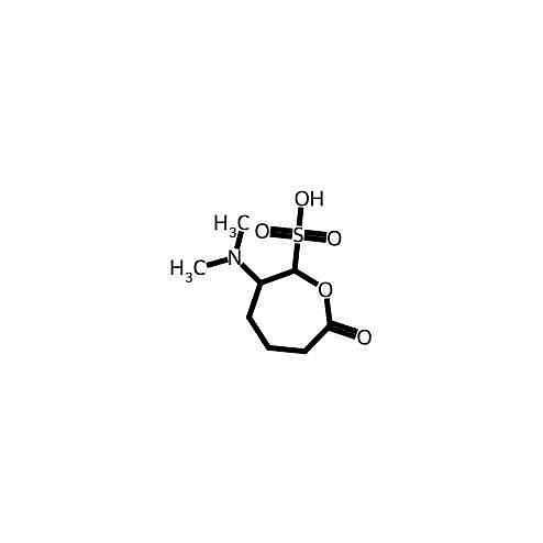 CN(C)C1CCCC(=O)OC1S(=O)(=O)O